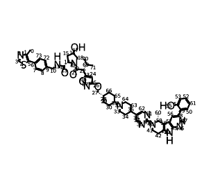 Cc1ncsc1-c1ccc(CNC(=O)[C@@H]2C[C@@H](O)CN2C(=O)[C@@H](c2cc(OC[C@H]3CC[C@H](N4CCC(c5cnc(N6CCc7[nH]c8nnc(-c9ccccc9O)cc8c7[C@H]6C)nc5)CC4)CC3)no2)C(C)C)cc1